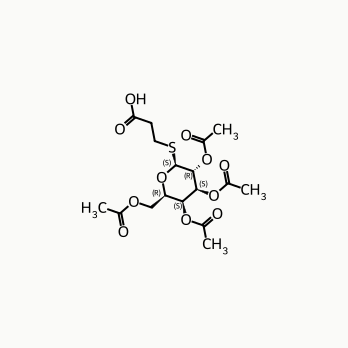 CC(=O)OC[C@H]1O[C@@H](SCCC(=O)O)[C@H](OC(C)=O)[C@@H](OC(C)=O)[C@H]1OC(C)=O